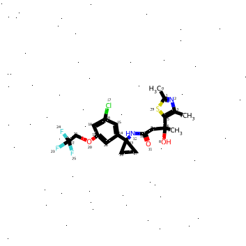 Cc1nc(C)c(C(C)(O)CC(=O)NC2(c3cc(Cl)cc(OCC(F)(F)F)c3)CC2)s1